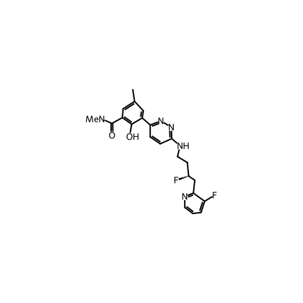 CNC(=O)c1cc(C)cc(-c2ccc(NCC[C@H](F)Cc3ncccc3F)nn2)c1O